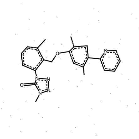 Cc1cc(-c2ccccn2)c(C)cc1OCc1c(C)cccc1-n1nnn(C)c1=O